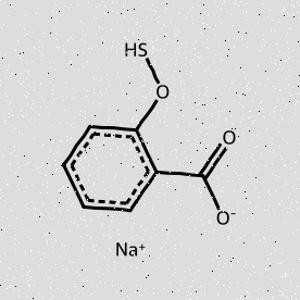 O=C([O-])c1ccccc1OS.[Na+]